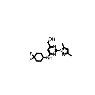 Cc1cc(C)n(-c2nc(CO)cc(NC3CCC(F)(F)CC3)n2)n1